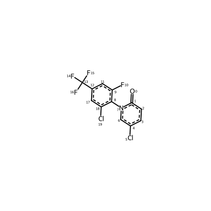 O=c1ccc(Cl)cn1-c1c(F)cc(C(F)(F)F)cc1Cl